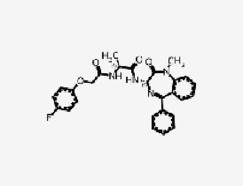 C[C@H](NC(=O)COc1ccc(F)cc1)C(=O)N[C@H]1N=C(c2ccccc2)c2ccccc2N(C)C1=O